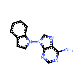 Nc1ncnc2c1ncn2-n1ccc2ccccc21